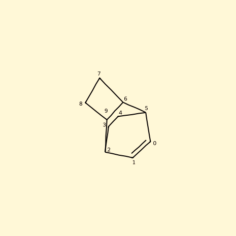 C1=CC2CCC1C1CCC21